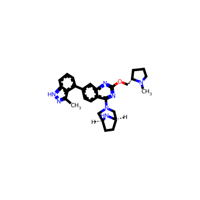 Cc1n[nH]c2cccc(-c3ccc4c(N5C[C@H]6CC[C@@H](C5)N6)nc(OC[C@@H]5CCCN5C)nc4c3)c12